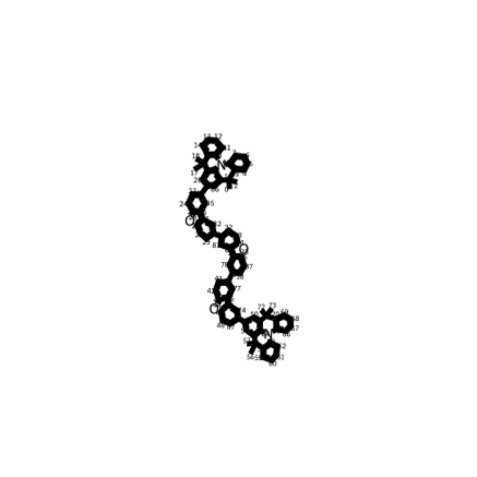 CC1(C)c2ccccc2N2c3ccccc3C(C)(C)c3cc(-c4ccc5oc6ccc(-c7ccc8oc9ccc(-c%10ccc%11oc%12ccc(-c%13cc%14c%15c(c%13)C(C)(C)c%13ccccc%13N%15c%13ccccc%13C%14(C)C)cc%12c%11c%10)cc9c8c7)cc6c5c4)cc1c32